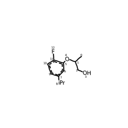 CC(CO)Oc1cc(C(C)C)ccc1F